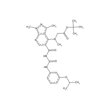 Cc1nn(C)c2ncc(C(=O)NC(=O)Nc3cccc(OC(C)C)c3)c(N(C)CC(=O)OC(C)(C)C)c12